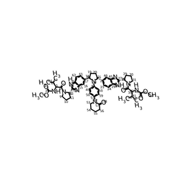 COC(=O)NC(C(=O)N1CCC[C@H]1c1nc2cc([C@H]3CC[C@H](c4ccc5[nH]c([C@@H]6CCCN6C(=O)[C@@H](NC(=O)OC)C(C)C)nc5c4)N3c3ccc(N4CCCCC4=O)cc3)ccc2[nH]1)C(C)C